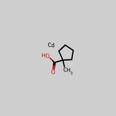 CC1(C(=O)O)CCCC1.[Cd]